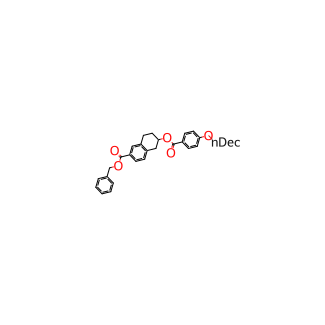 CCCCCCCCCCOc1ccc(C(=O)OC2CCc3cc(C(=O)OCc4ccccc4)ccc3C2)cc1